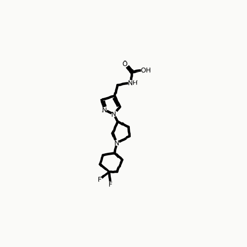 O=C(O)NCc1cnn(C2CCN(C3CCC(F)(F)CC3)C2)c1